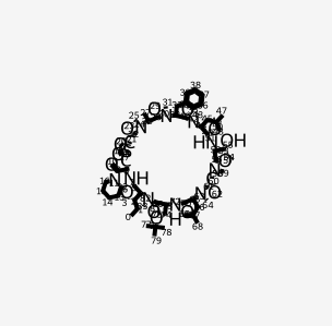 CC[C@H](C)C1C(=O)NC(C(=O)N2CCCCC2)CS(=O)(=O)CC(=O)N(C)C(C)C(=O)N(C)C(Cc2ccccc2)C(=O)N(C)C(CC(C)C)C(=O)NC([C@@H](C)O)C(=O)N(C)CC(=O)N(C)C(CC(C)C)C(=O)NC(COC(C)(C)C)C(=O)N1C